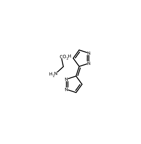 C1=CC(=C2C=CN=N2)N=N1.NCC(=O)O